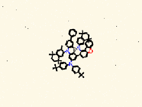 Cc1cc2c(cc1N1c3ccc(-c4ccccc4)cc3B3c4c(cc(N(c5ccc(C(C)(C)C)cc5)c5ccc(C(C)(C)C)cc5)cc41)-c1ccc4oc5ccccc5c4c1N3c1ccc3c(c1)C(C)(C)CCC3(C)C)C(C)(C)CCC2(C)C